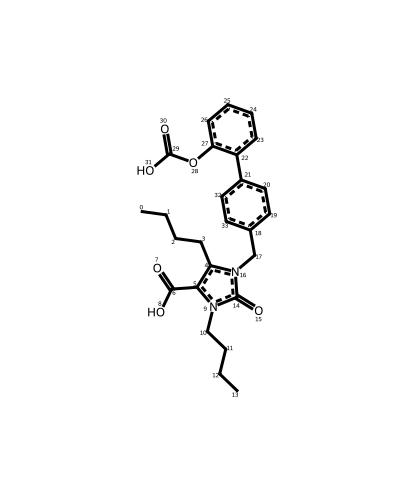 CCCCc1c(C(=O)O)n(CCCC)c(=O)n1Cc1ccc(-c2ccccc2OC(=O)O)cc1